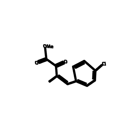 COC(=O)C(=O)C(C)=Cc1ccc(Cl)cc1